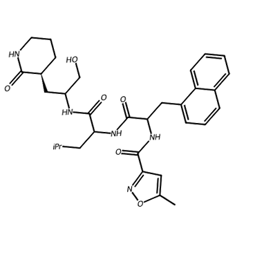 Cc1cc(C(=O)NC(Cc2cccc3ccccc23)C(=O)NC(CC(C)C)C(=O)NC(CO)C[C@@H]2CCCNC2=O)no1